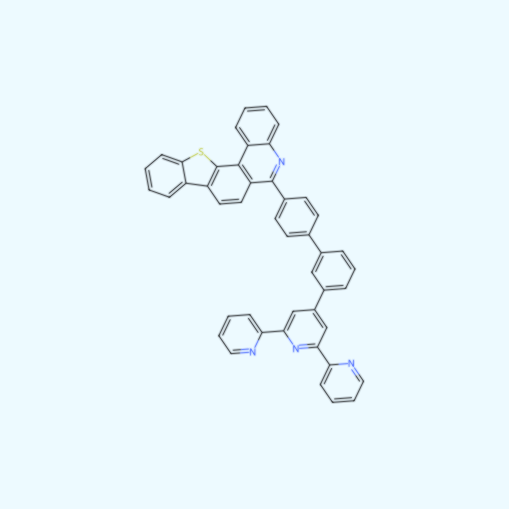 c1ccc(-c2cc(-c3cccc(-c4ccc(-c5nc6ccccc6c6c5ccc5c7ccccc7sc56)cc4)c3)cc(-c3ccccn3)n2)nc1